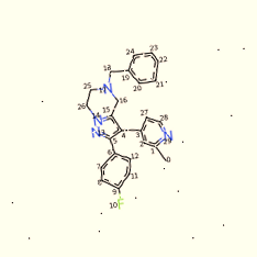 Cc1cc(-c2c(-c3ccc(F)cc3)nn3c2CN(Cc2ccccc2)CC3)ccn1